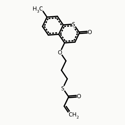 C=CC(=O)SCCCOc1cc(=O)sc2cc(C)ccc12